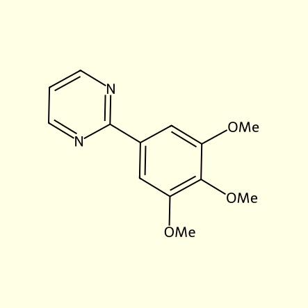 COc1cc(-c2ncccn2)cc(OC)c1OC